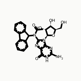 CC(=O)N(c1nc2c(=O)[nH]c(N)nc2n1[C@@H]1O[C@H](CO)[C@@H](O)[C@H]1O)C1c2ccccc2-c2ccccc21